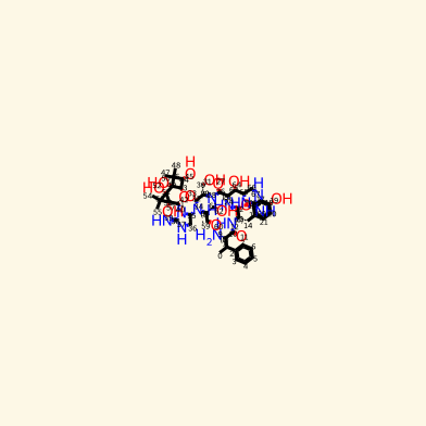 CC(c1ccccc1)[C@H](N)C(=O)N[C@@H](Cc1ccc(O)cc1)C(=O)N[C@H](C(=O)N[C@@H](CO)C(=O)N(C1CNC(=N)N1C1OC2C(O)C(C)(C)C2(O)C2(O)C(C)(C)C12O)[C@H]([C]=O)CO)C(O)C1CNC(=N)N1